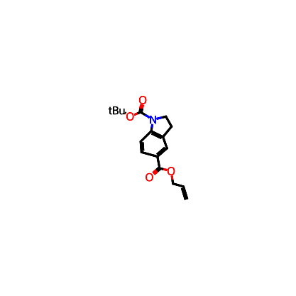 C=CCOC(=O)c1ccc2c(c1)CCN2C(=O)OC(C)(C)C